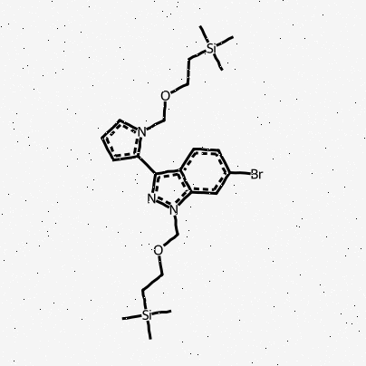 C[Si](C)(C)CCOCn1cccc1-c1nn(COCC[Si](C)(C)C)c2cc(Br)ccc12